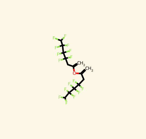 C=C(CC(F)(F)C(F)(F)C(F)(F)C(F)F)OC(=C)CC(F)(F)C(F)(F)C(F)(F)C(F)F